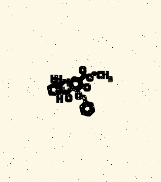 CCOC(=O)c1cn2c(c(OCc3ccccc3)c1=O)C(=O)N1[C@H]3CC[C@H](C3)[C@@H]1C2